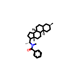 C[C@H]1CC[C@H]2C(CC[C@@H]3C2CC[C@@]2(C)C3CCC2[C@@H](C)N(C)C(=O)c2ccccc2)C1